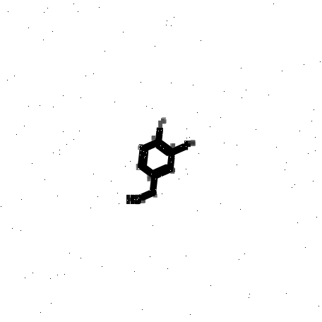 O[CH]c1ccc(I)c(F)c1